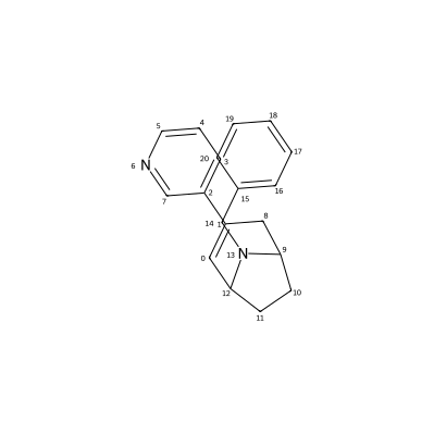 C1=C(c2cccnc2)CC2CCC1N2Cc1ccccc1